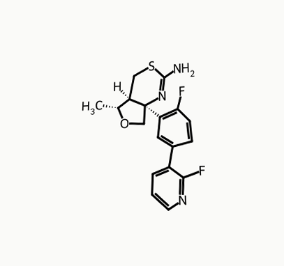 C[C@H]1OC[C@]2(c3cc(-c4cccnc4F)ccc3F)N=C(N)SC[C@H]12